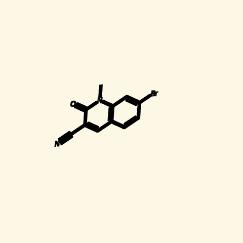 Cn1c(=O)c(C#N)cc2ccc(Br)cc21